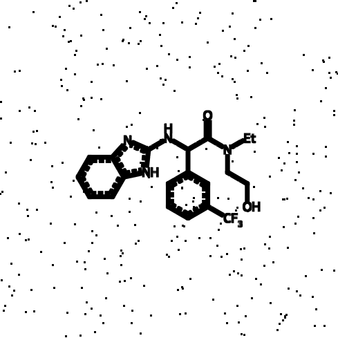 CCN(CCO)C(=O)C(Nc1nc2ccccc2[nH]1)c1cccc(C(F)(F)F)c1